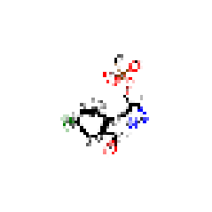 Cn1ncc(COS(C)(=O)=O)c1-c1ccc(F)cc1C=O